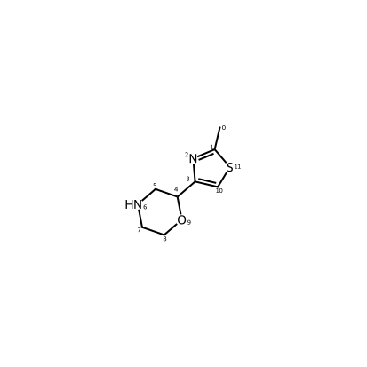 Cc1nc(C2CNCCO2)cs1